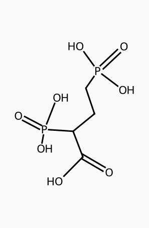 O=C(O)C(CCP(=O)(O)O)P(=O)(O)O